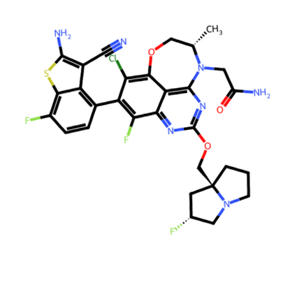 C[C@H]1COc2c(Cl)c(-c3ccc(F)c4sc(N)c(C#N)c34)c(F)c3nc(OC[C@@]45CCCN4C[C@H](F)C5)nc(c23)N1CC(N)=O